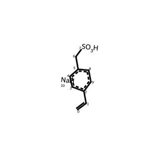 C=Cc1ccc(CS(=O)(=O)O)cc1.[NaH]